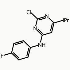 CC(C)c1cc(Nc2ccc(F)cc2)nc(Cl)n1